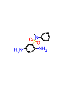 CN(c1ccccc1)S(=O)(=O)c1cc(N)ccc1N